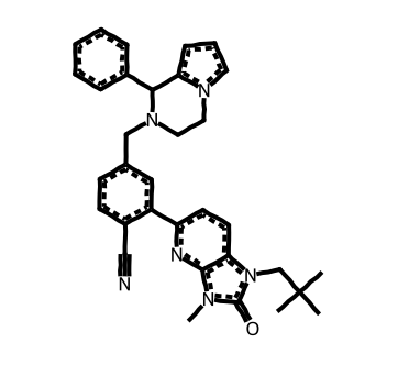 Cn1c(=O)n(CC(C)(C)C)c2ccc(-c3cc(CN4CCn5cccc5C4c4ccccc4)ccc3C#N)nc21